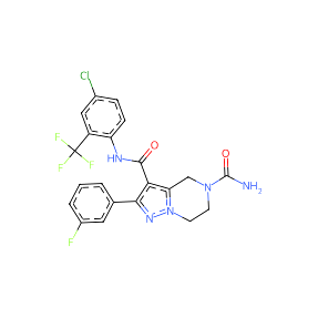 NC(=O)N1CCn2nc(-c3cccc(F)c3)c(C(=O)Nc3ccc(Cl)cc3C(F)(F)F)c2C1